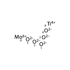 [Mo+6].[O-2].[O-2].[O-2].[O-2].[O-2].[Ti+4]